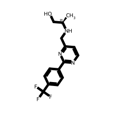 C[C@H](CO)NCc1ccnc(-c2ccc(C(F)(F)F)cc2)n1